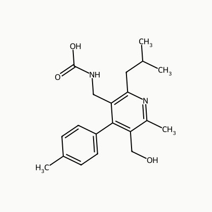 Cc1ccc(-c2c(CO)c(C)nc(CC(C)C)c2CNC(=O)O)cc1